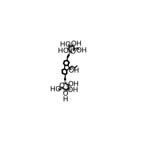 CC(C)CC1(O)c2cc(C#C[C@H]3O[C@H](CO)[C@@H](O)[C@H](O)[C@@H]3O)ccc2-c2ccc(C#C[C@H]3O[C@H](CO)[C@@H](O)[C@H](O)[C@@H]3O)cc21